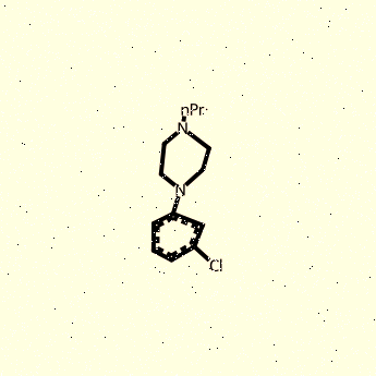 CC[CH]N1CCN(c2cccc(Cl)c2)CC1